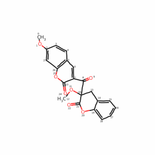 COc1ccc2cc(C(=O)C3(OC)Cc4ccccc4OC3=O)c(=O)oc2c1